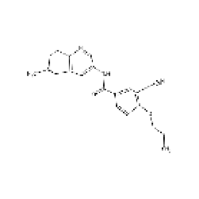 CCCOc1ccc(C(=O)Nc2cnc3c(c2)CN(C)CC3)cc1C#N